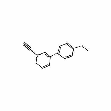 C#CN1C=C(c2ccc(OC)cc2)C=CC1